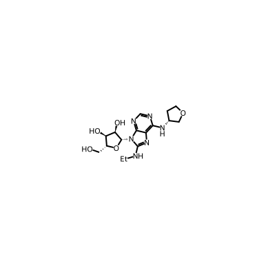 CCNc1nc2c(N[C@@H]3CCOC3)ncnc2n1[C@@H]1O[C@H](CO)[C@@H](O)[C@H]1O